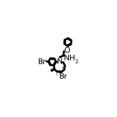 C=C1/C=C(Br)\C=C/CN(CC(N)COc2ccccc2)c2ccc(Br)cc21